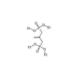 C=C(CP(=O)(OCC)OCC)CP(=O)(OCC)OCC